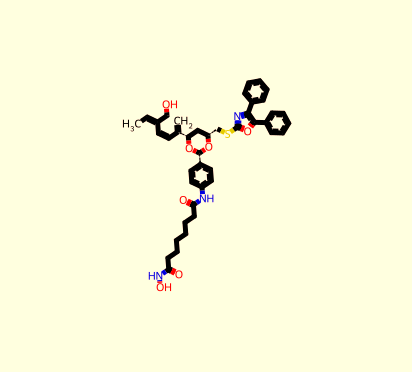 C=C(/C=C\C(=C/C)CO)[C@@H]1C[C@H](CSc2nc(-c3ccccc3)c(-c3ccccc3)o2)O[C@H](c2ccc(NC(=O)CCCCCCC(=O)NO)cc2)O1